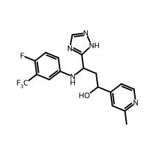 Cc1cc(C(O)CC(Nc2ccc(F)c(C(F)(F)F)c2)c2ncn[nH]2)ccn1